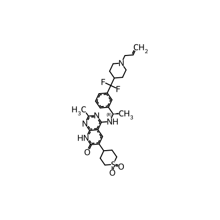 C=CCN1CCC(C(F)(F)c2cccc([C@@H](C)Nc3nc(C)nc4[nH]c(=O)c(C5CCS(=O)(=O)CC5)cc34)c2)CC1